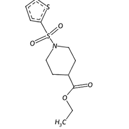 CCOC(=O)C1CCN(S(=O)(=O)c2cccs2)CC1